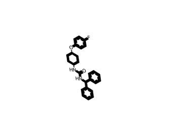 O=C(NC(c1ccccc1)c1ccccc1)N[C@H]1CC[C@@H](Oc2ccc(F)cc2)CC1